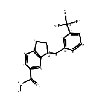 COC(=O)c1ccc2c(c1)N(Cc1cccc(C(F)(F)F)c1)CC2